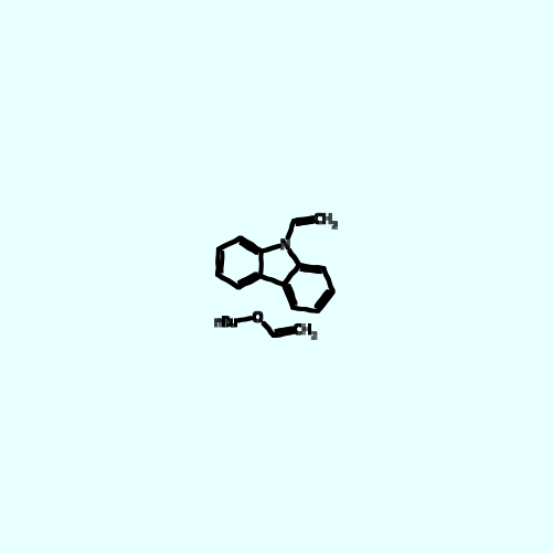 C=COCCCC.C=Cn1c2ccccc2c2ccccc21